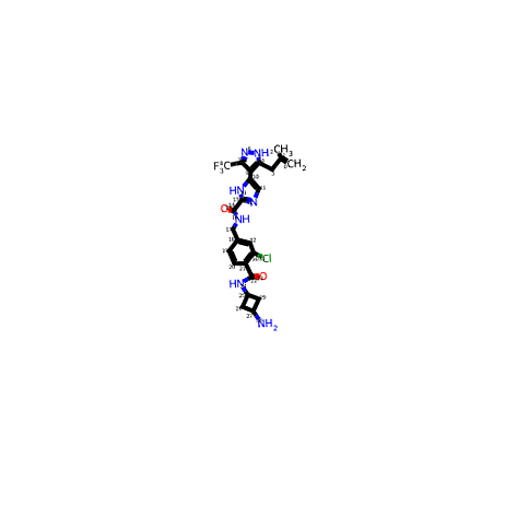 C=C(C)Cc1[nH]nc(C(F)(F)F)c1-c1cnc(C(=O)NCc2ccc(C(=O)NC3CC(N)C3)c(Cl)c2)[nH]1